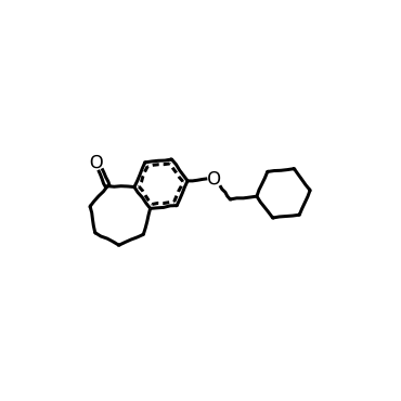 O=C1CCCCc2cc(OCC3CCCCC3)ccc21